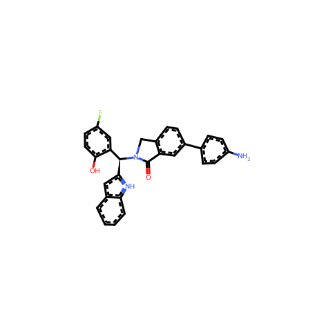 Nc1ccc(-c2ccc3c(c2)C(=O)N([C@@H](c2cc4ccccc4[nH]2)c2cc(F)ccc2O)C3)cc1